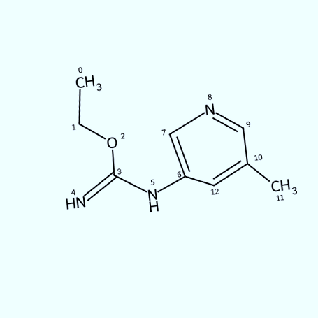 CCOC(=N)Nc1cncc(C)c1